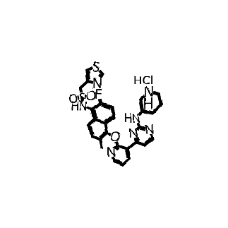 Cc1ccc2c(NS(=O)(=O)Cc3cscn3)c(F)ccc2c1Oc1ncccc1-c1ccnc(NC2CCCNC2)n1.Cl